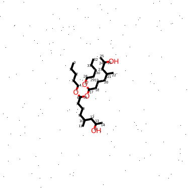 CCCCCOC(CCCC(C)CC(C)O)OC(CCCC(C)CC(C)O)OCCCCC